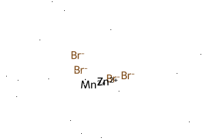 [Br-].[Br-].[Br-].[Br-].[Mn+2].[Zn+2]